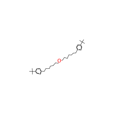 CC(C)(C)c1ccc(CCCCCCCOCCCCCCCc2ccc(C(C)(C)C)cc2)cc1